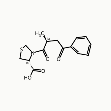 C[C@@H](CC(=O)c1ccccc1)C(=O)N1CSC[C@H]1C(=O)O